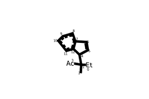 CCC(C)(C(C)=O)C1C=Cc2ccccc21